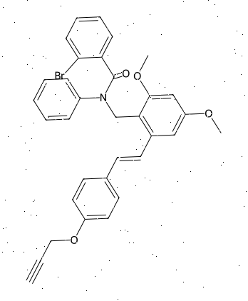 C#CCOc1ccc(C=Cc2cc(OC)cc(OC)c2CN(C(=O)c2ccccc2Br)c2ccccc2)cc1